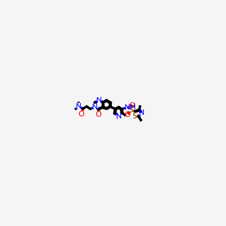 Cc1nc(C)c(S(=O)(=O)Nc2cc(-c3ccc4ncn(CCC(=O)N(C)C)c(=O)c4c3)cnc2C)s1